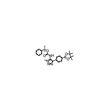 C[C@@H](OC(=O)Nc1c(-c2ccc(B3OC(C)(C)C(C)(C)O3)cc2)nnn1C)c1ccccc1